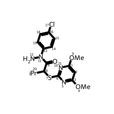 COc1cc(OC)nc(SC(C(=O)N(N)c2ccc(Cl)cc2)C(C)C)n1